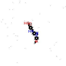 CCOc1ccc(-n2cnc3cc(NCc4ccc(CC(=O)O)cc4)ccc32)cc1